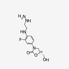 NNCCNc1ccc(N2C[C@H](CO)OC2=O)cc1F